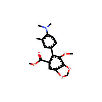 COC(=O)c1cc2c(c(OC)c1-c1ccc(N(C)C)c(C)c1)OCO2